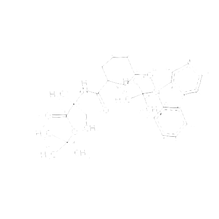 CCC(C)(NC(=O)C1CCCC(O[Si](c2ccccc2)(c2ccccc2)C(C)(C)C)C1)C(=O)OC(C)(C)C